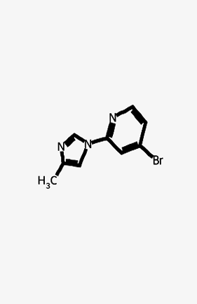 Cc1cn(-c2cc(Br)ccn2)cn1